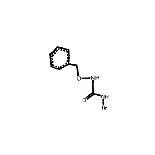 O=C(NBr)NOCc1ccccc1